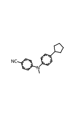 CN(c1ccc(C#N)cc1)c1ccc(C2CCCC2)cc1